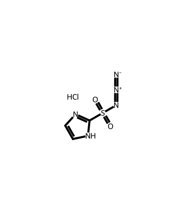 Cl.[N-]=[N+]=NS(=O)(=O)c1ncc[nH]1